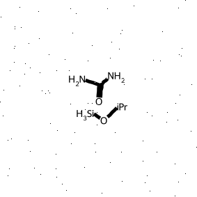 CC(C)O[SiH3].NC(N)=O